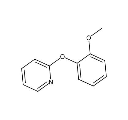 COc1ccccc1Oc1ccccn1